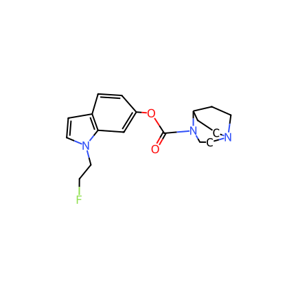 O=C(Oc1ccc2ccn(CCF)c2c1)N1CCN2CCC1CC2